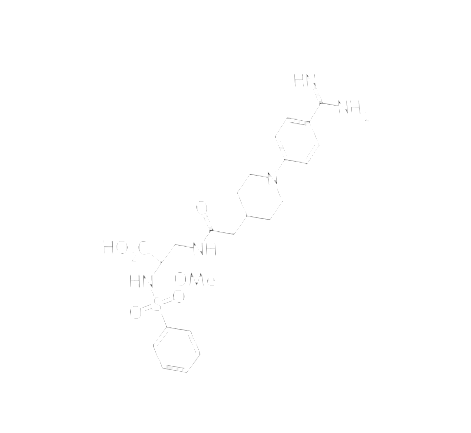 CO[C@](CNC(=O)CC1CCN(c2ccc(C(=N)N)cc2)CC1)(NS(=O)(=O)c1ccccc1)C(=O)O